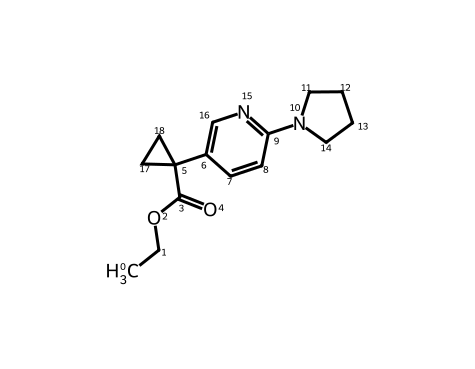 CCOC(=O)C1(c2ccc(N3CCCC3)nc2)CC1